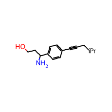 CC(C)CC#Cc1ccc(C(N)CCO)cc1